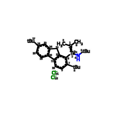 C[Si](C)=[Ti+2]([NH]C(C)(C)C)[c]1c(C(C)(C)C)ccc2c1Cc1cc(C(C)(C)C)ccc1-2.[Cl-].[Cl-]